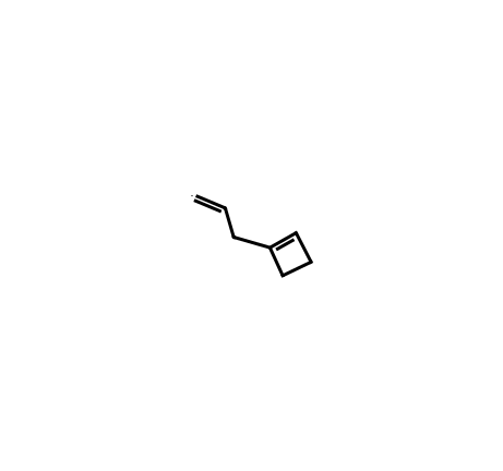 [CH]=CCC1=CCC1